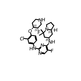 CC1(C)C[C@H](Nc2nc(Nc3ccc(O[C@H]4CCNC[C@@H]4F)c(Cl)c3)ncc2F)C[C@@H]2CCCN21